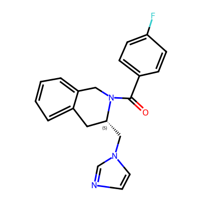 O=C(c1ccc(F)cc1)N1Cc2ccccc2C[C@H]1Cn1ccnc1